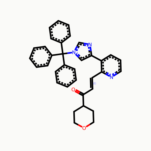 O=C(/C=C/c1ncccc1-c1cn(C(c2ccccc2)(c2ccccc2)c2ccccc2)cn1)C1CCOCC1